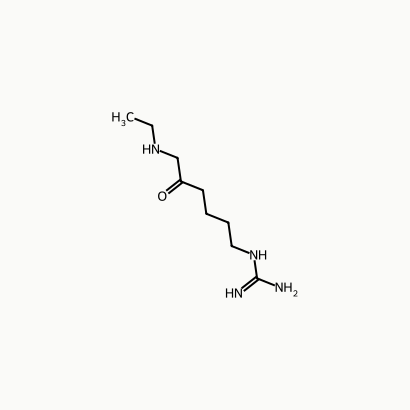 CCNCC(=O)CCCCNC(=N)N